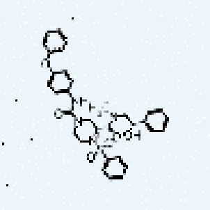 CN(CC(O)c1ccccc1)C(=O)[C@H]1CN(C(=O)Nc2ccc(Oc3ccccc3)cc2)CCN1S(=O)(=O)c1ccccc1